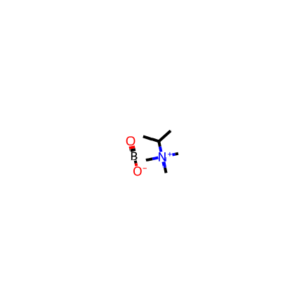 CC(C)[N+](C)(C)C.O=B[O-]